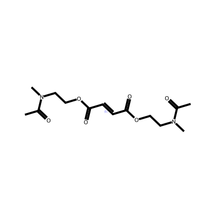 CC(=O)N(C)CCOC(=O)/C=C/C(=O)OCCN(C)C(C)=O